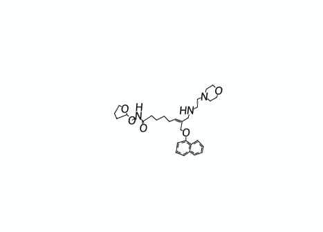 O=C(CCCC/C=C(/CNCCN1CCOCC1)COc1cccc2ccccc12)NOC1CCCO1